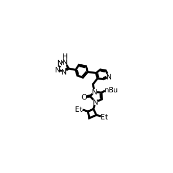 CCCCc1cn(C2C(CC)CC2CC)c(=O)n1Cc1cnccc1-c1ccc(-c2nnn[nH]2)cc1